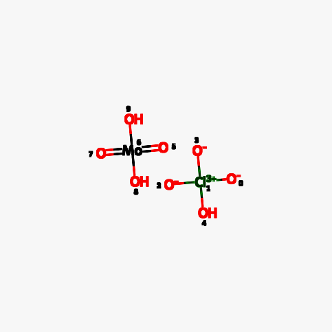 [O-][Cl+3]([O-])([O-])O.[O]=[Mo](=[O])([OH])[OH]